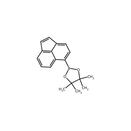 CC1(C)OB(c2ccc3c4c(cccc24)C=C3)OC1(C)C